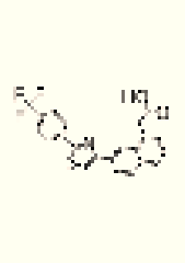 O=C(O)Cc1cccc2ccc(-c3csc(-c4ccc(C(F)(F)F)cc4)n3)cc12